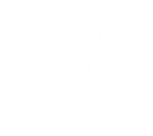 O=C(NCc1ccccc1)c1cccc(Cn2cnc3cc(-c4cn[nH]c4C(F)(F)F)ccc3c2=O)c1